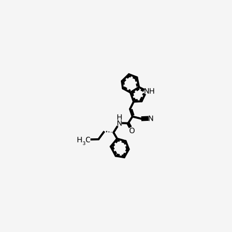 CCC[C@H](NC(=O)/C(C#N)=C/c1c[nH]c2ccccc12)c1ccccc1